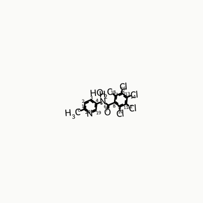 Cc1ccc(NC(=O)c2c(Cl)c(Cl)c(Cl)c(Cl)c2C(=O)O)cn1